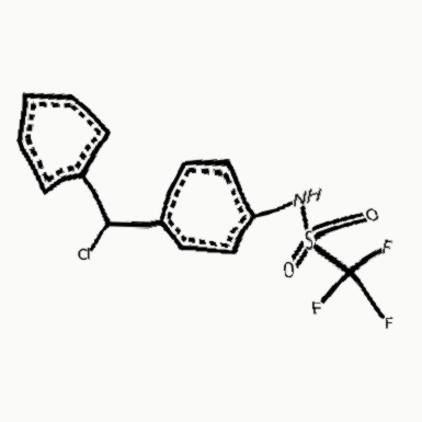 O=S(=O)(Nc1ccc(C(Cl)c2ccccc2)cc1)C(F)(F)F